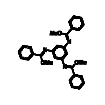 CO/C(=N\c1cc(/N=C(\OC)c2ccccc2)cc(/N=C(\OC)c2ccccc2)c1)c1ccccc1